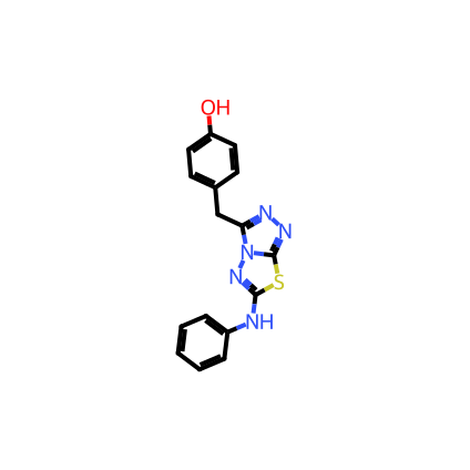 Oc1ccc(Cc2nnc3sc(Nc4ccccc4)nn23)cc1